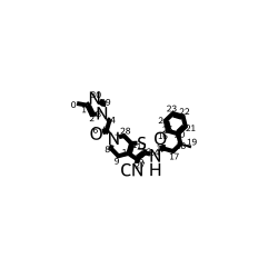 Cc1cn(CC(=O)N2CCc3c(sc(NC(=O)C[C@H](C)c4ccccc4)c3C#N)C2)cn1